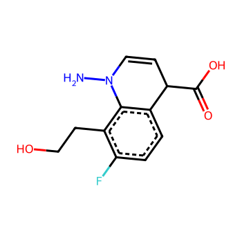 NN1C=CC(C(=O)O)c2ccc(F)c(CCO)c21